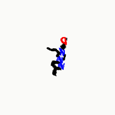 C#Cc1ccc(N2CCN(CCOC)C(CCC)C2)nc1